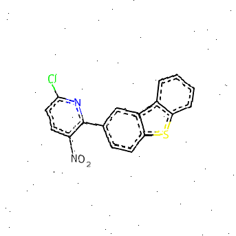 O=[N+]([O-])c1ccc(Cl)nc1-c1ccc2sc3ccccc3c2c1